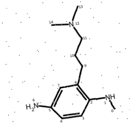 CNc1ccc(N)cc1CCCN(C)C